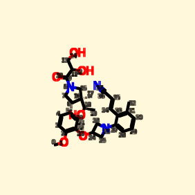 COc1ccc([C@@H]2CN(C(=O)C(O)CO)C[C@@]2(C)[C@@H](C)O)cc1OC1CN(c2cccc(C)c2C=CC#N)C1